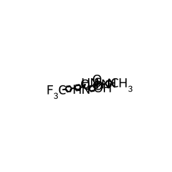 CN1CCN(CCS(=O)(=O)Nc2cc(NC(=O)c3ccc(-c4ccc(C(F)(F)F)cc4)cc3)ccc2O)CC1